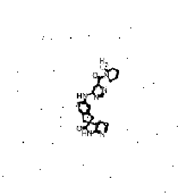 CC1CCCCN1C(=O)c1cc(Nc2ccc3c(c2)CC2(C3)C(=O)Nc3ncccc32)ncn1